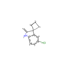 C=C(N)C1(c2cccc(Cl)c2)CCC1